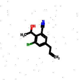 C=CCc1cc(Br)c(C(C)O)c(C#N)c1